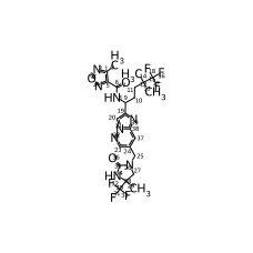 Cc1nonc1C(=O)NC(CCC(C)(C)C(F)(F)F)c1cn2ncc(CN3CC(C)(C(F)(F)F)NC3=O)cc2n1